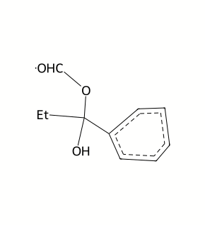 CCC(O)(O[C]=O)c1ccccc1